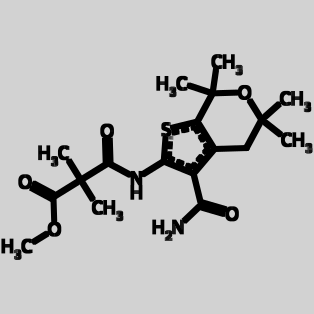 COC(=O)C(C)(C)C(=O)Nc1sc2c(c1C(N)=O)CC(C)(C)OC2(C)C